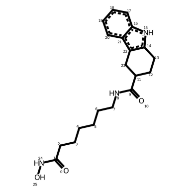 O=C(CCCCCCNC(=O)C1CCc2[nH]c3ccccc3c2C1)NO